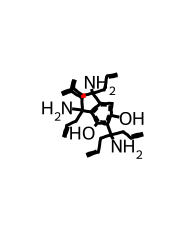 C=CCC(N)(CC=C)c1cc(O)c(C(N)(CC=C)CC=C)c(O)c1C(N)(CC=C)CC=C